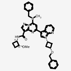 CO[C@@H]1CC[C@@H]1NC(=O)c1cnn2c(N(C)Cc3ccccc3)cc(-c3cn([C@H]4C[C@@H](OCc5ccccc5)C4)c4ncccc34)nc12